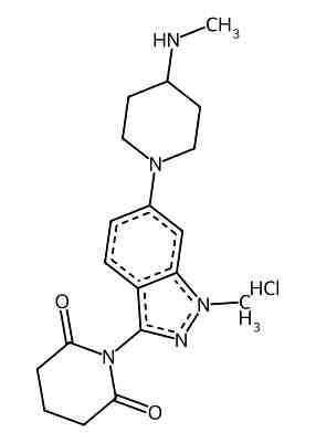 CNC1CCN(c2ccc3c(N4C(=O)CCCC4=O)nn(C)c3c2)CC1.Cl